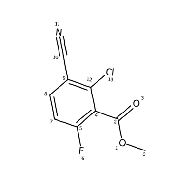 COC(=O)c1c(F)ccc(C#N)c1Cl